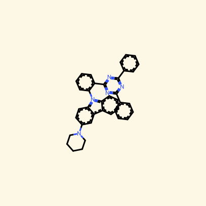 c1ccc(-c2nc(-c3ccccc3)nc(-c3ccccc3-n3c4ccccc4c4cc(N5CCCCC5)ccc43)n2)cc1